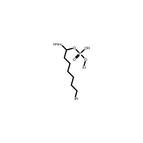 CCCCCCC(CCCCCCC(C)C)OP(=O)(O)OCC